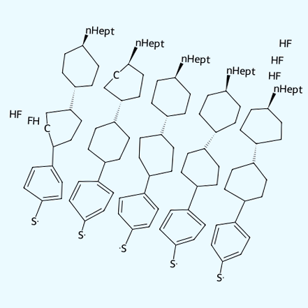 CCCCCCC[C@H]1CC[C@H](C2CCC(c3ccc([S])cc3)CC2)CC1.CCCCCCC[C@H]1CC[C@H](C2CCC(c3ccc([S])cc3)CC2)CC1.CCCCCCC[C@H]1CC[C@H](C2CCC(c3ccc([S])cc3)CC2)CC1.CCCCCCC[C@H]1CC[C@H](C2CCC(c3ccc([S])cc3)CC2)CC1.CCCCCCC[C@H]1CC[C@H](C2CCC(c3ccc([S])cc3)CC2)CC1.F.F.F.F.F